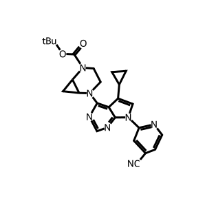 CC(C)(C)OC(=O)N1CCN(c2ncnc3c2c(C2CC2)cn3-c2cc(C#N)ccn2)C2CC21